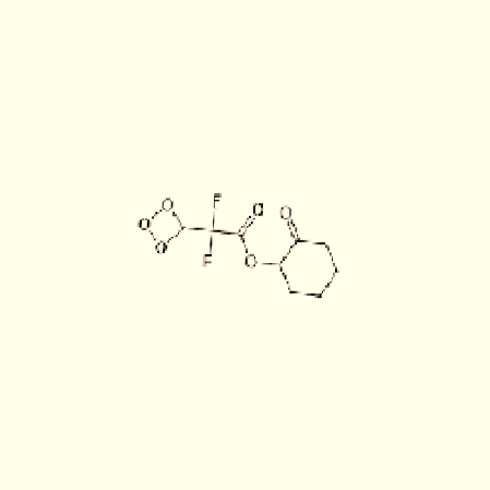 O=C1CCCCC1OC(=O)C(F)(F)C1OOO1